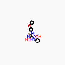 N=C(N[C@@H]1CCCC[C@H]1O)c1c(O)nsc1Nc1ccc(Oc2ccccc2)cc1